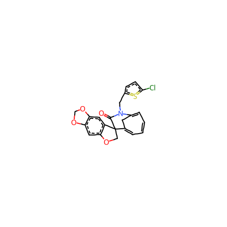 O=C1N(Cc2ccc(Cl)s2)C2=CC=CC=C(C2)C12COc1cc3c(cc12)OCO3